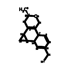 C[C@H]1CC2=C(CO1)C1C=CC(CI)=CC1C1CC21